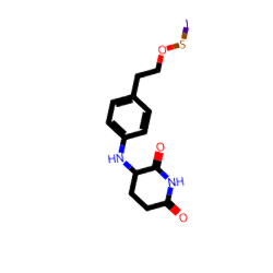 O=C1CCC(Nc2ccc(CCOSI)cc2)C(=O)N1